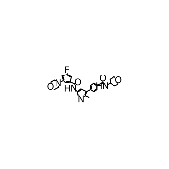 Cc1ncc(NC(=O)c2cc(F)cc(N3CCOCC3)c2)cc1-c1ccc(C(=O)NC2CCOCC2)cc1